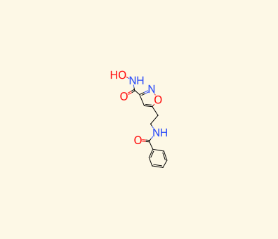 O=C(NCCc1cc(C(=O)NO)no1)c1ccccc1